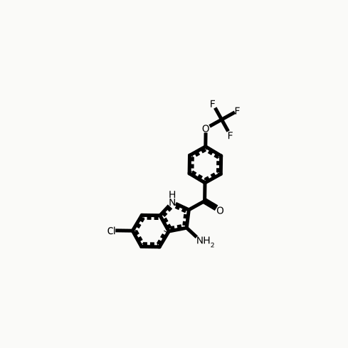 Nc1c(C(=O)c2ccc(OC(F)(F)F)cc2)[nH]c2cc(Cl)ccc12